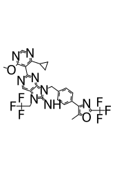 COc1ncnc(C2CC2)c1-c1ncc2c(n1)n(Cc1ccc(-c3nc(C(F)(F)F)oc3C)cc1)c(=N)n2CC(F)(F)F